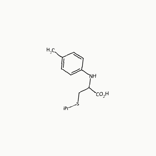 Cc1ccc(NC(CSC(C)C)C(=O)O)cc1